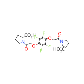 O=C(O)[C@H]1CCCN1C(=O)COc1c(F)c(F)c(OCC(=O)N2CCC[C@@H]2C(=O)O)c(F)c1F